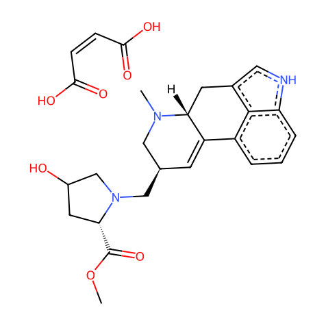 COC(=O)[C@@H]1CC(O)CN1C[C@@H]1C=C2c3cccc4[nH]cc(c34)C[C@H]2N(C)C1.O=C(O)/C=C\C(=O)O